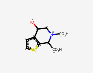 O=C(O)C1c2sccc2C(O)CN1C(=O)O